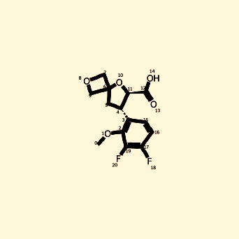 COc1c([C@@H]2CC3(COC3)O[C@H]2C(=O)O)ccc(F)c1F